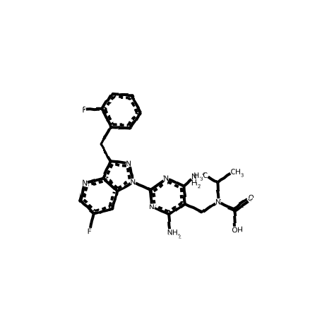 CC(C)N(Cc1c(N)nc(-n2nc(Cc3ccccc3F)c3ncc(F)cc32)nc1N)C(=O)O